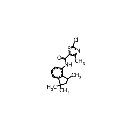 Cc1nc(Cl)sc1C(=O)Nc1cccc2c1C(C)CC2(C)C